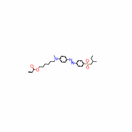 C=CC(=O)OCCCCCCN(C)c1ccc(/N=N/c2ccc(S(=O)(=O)CC(C)CC)cc2)cc1